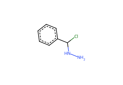 NNC(Cl)c1ccccc1